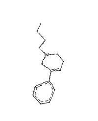 CCCCN1CCC=C(c2ccccc2)C1